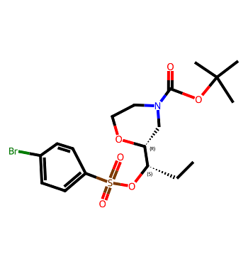 CC[C@H](OS(=O)(=O)c1ccc(Br)cc1)[C@H]1CN(C(=O)OC(C)(C)C)CCO1